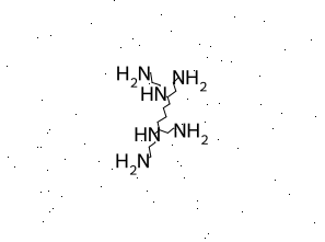 NCCCNC(CCN)CCCCC(CCN)NCCCN